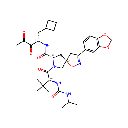 CC(=O)C(=O)[C@H](CC1CCC1)NC(=O)[C@@H]1C[C@]2(CC(c3ccc4c(c3)OCO4)=NO2)CN1C(=O)[C@@H](NC(=O)NC(C)C)C(C)(C)C